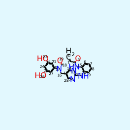 C=CC(=O)Nc1ccccc1Nc1ncc(CN(C=O)c2cc(O)cc(O)c2)cn1